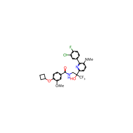 CNc1ccc(C(O)(CNC(=O)c2ccc(OC3CCC3)c(OC)c2)C(F)(F)F)nc1-c1ccc(F)c(Cl)c1